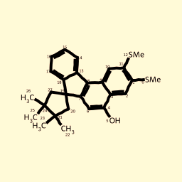 CSc1cc2c(O)cc3c(c2cc1SC)-c1ccccc1C31CC(C)(C)C(C)(C)C1